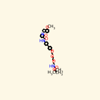 COc1cccc2c1CCC2n1cccc(C(=O)Nc2ccc(-c3ccc(OCCOCCOCCNC(=O)OC(C)(C)C)cc3)cc2)c1=O